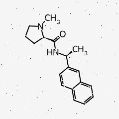 C[C@H](NC(=O)[C@H]1CCCN1C)c1ccc2ccccc2c1